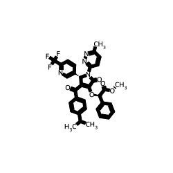 COC(=O)[C@H](OC1=C(C(=O)c2ccc(C(C)C)cc2)[C@H](c2ccc(C(F)(F)F)nc2)N(c2ccc(C)nn2)C1=O)c1ccccc1